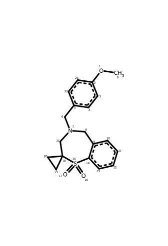 COc1ccc(CN2Cc3ccccc3S(=O)(=O)C3(CC3)C2)cc1